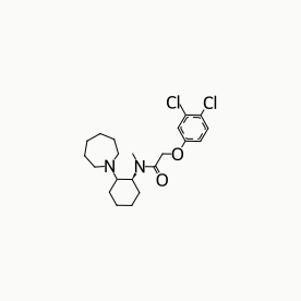 CN(C(=O)COc1ccc(Cl)c(Cl)c1)[C@H]1CCCCC1N1CCCCCC1